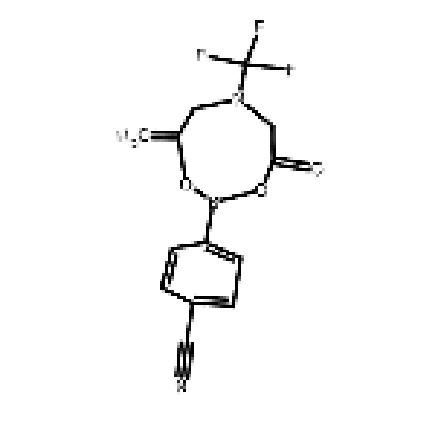 C=C1CN(C(F)(F)F)CC(=O)OB(c2ccc(C#N)cc2)O1